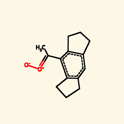 CC(=[O+][O-])c1c2c(cc3c1CCC3)CCC2